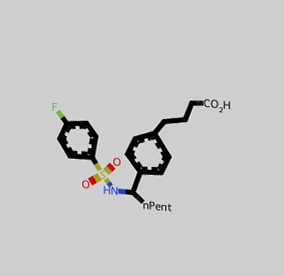 CCCCCC(NS(=O)(=O)c1ccc(F)cc1)c1ccc(CCCC(=O)O)cc1